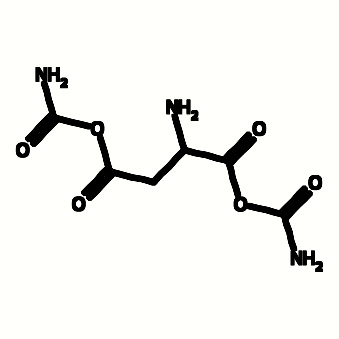 NC(=O)OC(=O)CC(N)C(=O)OC(N)=O